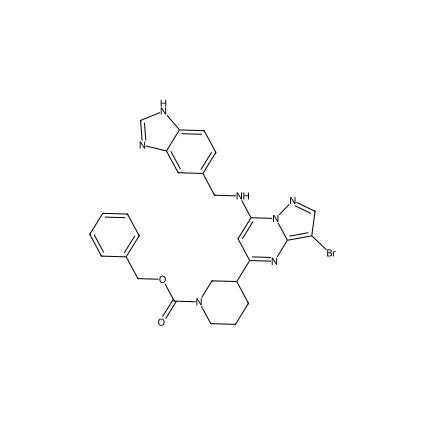 O=C(OCc1ccccc1)N1CCCC(c2cc(NCc3ccc4[nH]cnc4c3)n3ncc(Br)c3n2)C1